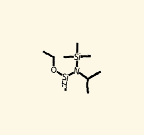 CCO[SiH](C)N(C(C)C)[Si](C)(C)C